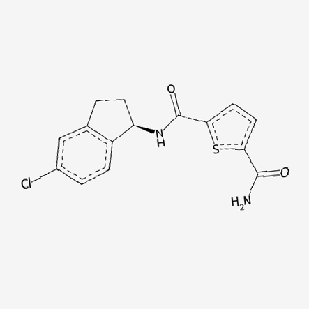 NC(=O)c1ccc(C(=O)N[C@@H]2CCc3cc(Cl)ccc32)s1